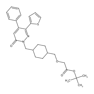 CC(C)(C)OC(=O)COCC1CCC(Cn2nc(-c3cccs3)c(-c3ccccc3)cc2=O)CC1